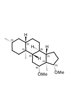 CO[C@H]1CC[C@H]2[C@@H]3CC[C@H]4C[C@@H](C)CC[C@]4(C)[C@H]3C[C@@H](OC)[C@]12C